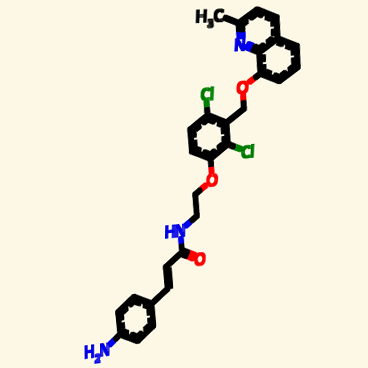 Cc1ccc2cccc(OCc3c(Cl)ccc(OCCNC(=O)/C=C/c4ccc(N)cc4)c3Cl)c2n1